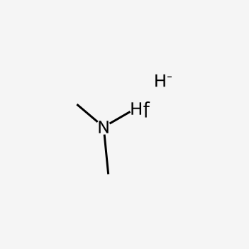 C[N](C)[Hf].[H-]